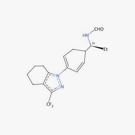 CC[C@H](NC=O)C1C=CC(n2nc(C(F)(F)F)c3c2CCCC3)=CC1